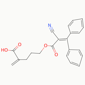 C=C(CCCOC(=O)C(C#N)=C(c1ccccc1)c1ccccc1)C(=O)O